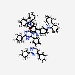 c1ccc(-c2cc(-c3ccc(-n4c5ccc(-n6c7ccccc7c7ccccc76)cc5c5cc(-n6c7ccccc7c7ccccc76)ccc54)c(-c4nc(-c5ccccc5)nc(-c5ccccc5)n4)c3)nc(-c3ccccc3)n2)cc1